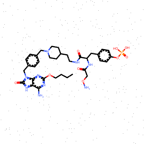 CCCCOc1nc(N)c2[nH]c(=O)n(Cc3ccc(CN4CCC(CCNC(=O)C(Cc5ccc(OP(=O)(O)O)cc5)NC(=O)CON)CC4)cc3)c2n1